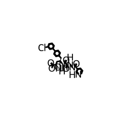 O=C(NNC(=O)c1cccnc1)C(=O)N[C@H](Cc1ccc(-c2cccc(Cl)c2)cc1)C[C@@H](O)C(=O)O